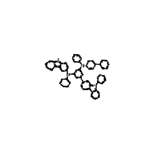 C1=CC(N(c2cc(-c3ccc4c5ccccc5n(-c5ccccc5)c4c3)cc(N(c3ccccc3)C3C=CC(c4ccccc4)=CC3)c2)c2ccc3sc4ccccc4c3c2)=CCC1